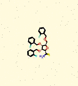 NC(=S)[C@@H]1O[C@H](COCc2ccccc2F)[C@@H](OCc2ccccc2F)[C@H]1OCc1ccccc1F